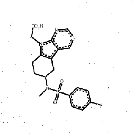 CN(C1CCc2c(c3cncnc3n2CC(=O)O)C1)S(=O)(=O)c1ccc(F)cc1